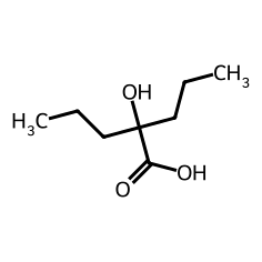 CCCC(O)(CCC)C(=O)O